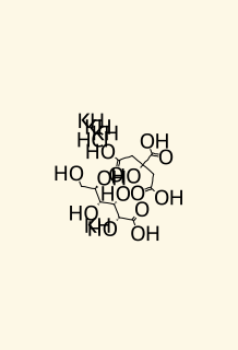 Cl.O=C(O)CC(O)(CC(=O)O)C(=O)O.O=C(O)[C@H](O)[C@@H](O)[C@H](O)[C@H](O)CO.[KH].[KH].[KH].[KH]